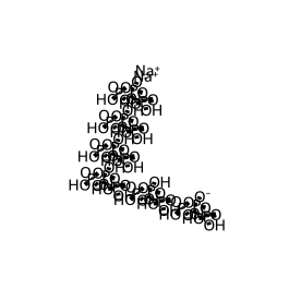 O=P(O)(O)OP(=O)(O)OP(=O)(O)O.O=P(O)(O)OP(=O)(O)OP(=O)(O)O.O=P(O)(O)OP(=O)(O)OP(=O)(O)O.O=P(O)(O)OP(=O)(O)OP(=O)(O)O.O=P(O)(O)OP(=O)([O-])OP(=O)(O)O.O=P(O)(O)OP(=O)([O-])OP(=O)(O)O.[Na+].[Na+]